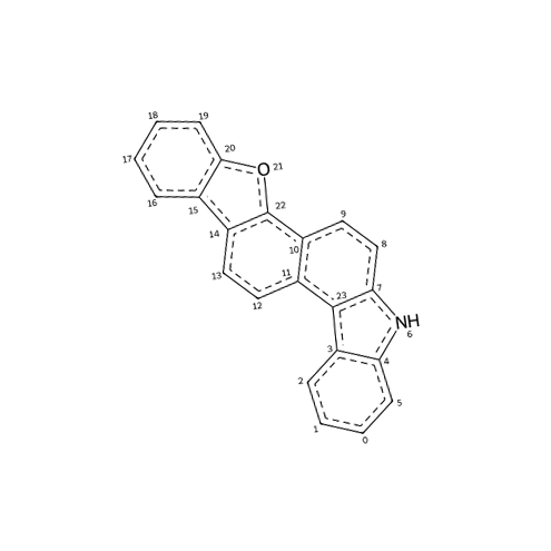 c1ccc2c(c1)[nH]c1ccc3c(ccc4c5ccccc5oc43)c12